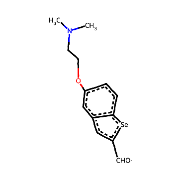 CN(C)CCOc1ccc2[se]c([C]=O)cc2c1